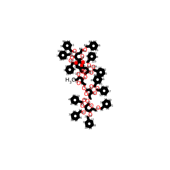 CC1OC(COC2OC(COC3OC(COCc4ccccc4)C(OCc4ccccc4)C(OCc4ccccc4)C3OC(=O)c3ccccc3)C(OCc3ccccc3)C2OC(=O)c2ccccc2)C(OC2OC(COC3OC(COCc4ccccc4)C(OCc4ccccc4)C(OCc4ccccc4)C3OC(=O)c3ccccc3)C(OCc3ccccc3)C2OC(=O)c2ccccc2)C1OC(=O)c1ccccc1